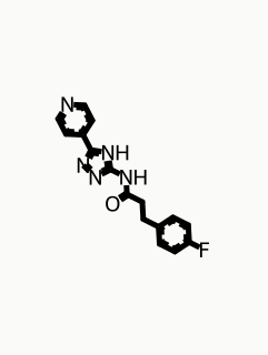 O=C(CCc1ccc(F)cc1)Nc1nnc(-c2ccncc2)[nH]1